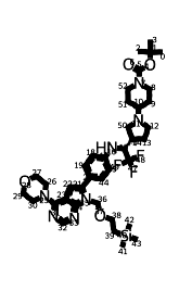 CC(C)(C)OC(=O)N1CCC(N2CC[C@@H](C(Nc3ccc(-c4cc5c(N6CCOCC6)ncnc5n4COCC[Si](C)(C)C)cc3)C(F)(F)F)C2)CC1